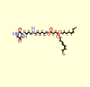 CC/C=C\CCCCOC(CCC(=O)OCCCCCCNCCCC[C@@H]1NC(=O)CNC1=O)OCCCC/C=C\CC